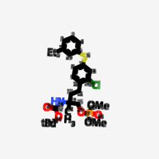 CCc1cccc(Sc2ccc(CCC(C)(COP(=O)(OC)OC)NC(=O)OC(C)(C)C)c(Cl)c2)c1